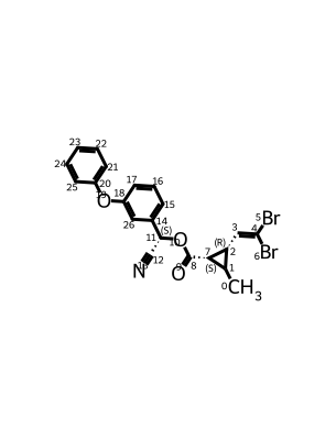 CC1[C@@H](C=C(Br)Br)[C@H]1C(=O)O[C@H](C#N)c1cccc(Oc2ccccc2)c1